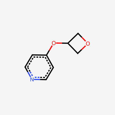 c1cc(OC2COC2)ccn1